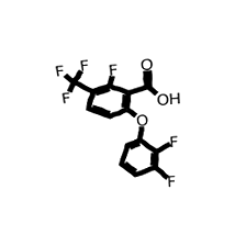 O=C(O)c1c(Oc2cccc(F)c2F)ccc(C(F)(F)F)c1F